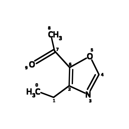 CCc1ncoc1C(C)=O